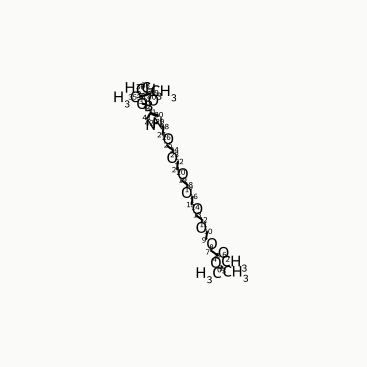 CC(C)(C)OC(=O)COCCOCCOCCOCCOCCOCCOCCn1cc(B2OC(C)(C)C(C)(C)O2)cn1